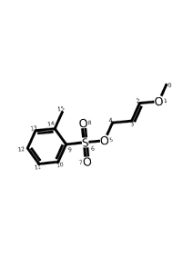 COC=CCOS(=O)(=O)c1ccccc1C